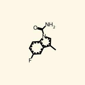 Cc1cn(C(N)=O)c2ccc(F)cc12